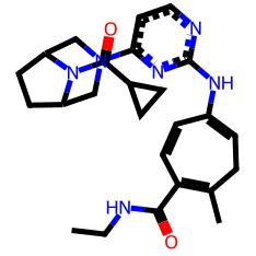 CCNC(=O)C1=C(C)CC=C(Nc2nccc(N3CC4CCC(C3)N4C(=O)C3CC3)n2)C=C1